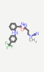 CN(C#N)CCc1nnc(-c2ccccc2Nc2ccc(C(F)(F)F)cc2)o1